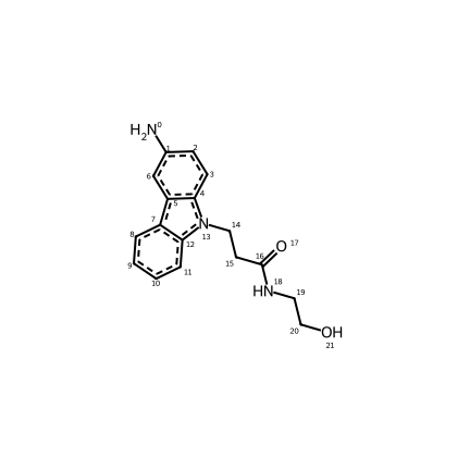 Nc1ccc2c(c1)c1ccccc1n2CCC(=O)NCCO